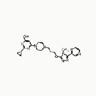 Cn1c(OCCCN2CCN(c3cc(C(C)(C)C)nc(C4CC4)n3)CC2)nnc1-c1cnccn1